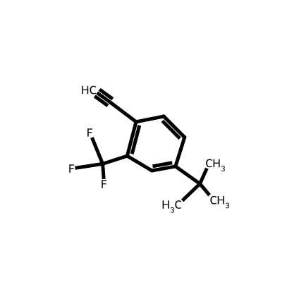 C#Cc1ccc(C(C)(C)C)cc1C(F)(F)F